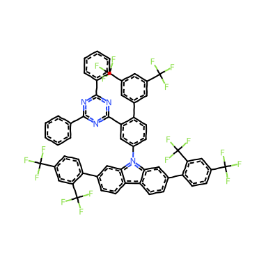 FC(F)(F)c1cc(-c2ccc(-n3c4cc(-c5ccc(C(F)(F)F)cc5C(F)(F)F)ccc4c4ccc(-c5ccc(C(F)(F)F)cc5C(F)(F)F)cc43)cc2-c2nc(-c3ccccc3)nc(-c3ccccc3)n2)cc(C(F)(F)F)c1